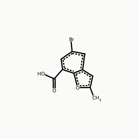 Cc1cc2cc(Br)cc(C(=O)O)c2o1